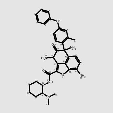 Cc1cc(Oc2ccccc2)ccc1C1(N)C(=O)C(N)c2c(C(=O)N[C@@H]3CCCC[C@@H]3N(C)C)sc3c(N)ccc1c23